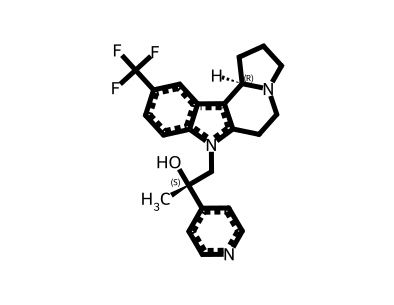 C[C@@](O)(Cn1c2c(c3cc(C(F)(F)F)ccc31)[C@H]1CCCN1CC2)c1ccncc1